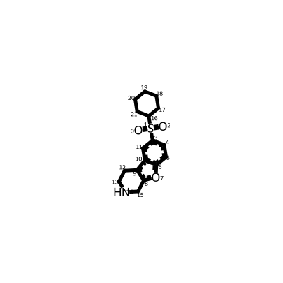 O=S(=O)(c1ccc2oc3c(c2c1)CCNC3)C1CCCCC1